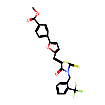 COC(=O)c1ccc(-c2ccc(/C=C3\SC(=S)N(Cc4ccccc4C(F)(F)F)C3=O)o2)cc1